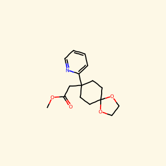 COC(=O)CC1(c2ccccn2)CCC2(CC1)OCCO2